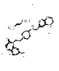 O=C(O)C=CC(=O)O.O=c1cnc2ccc(F)cc2n1CCN1CCC(NCc2cc3c(nn2)OCCO3)CC1